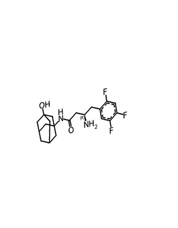 N[C@@H](CC(=O)NC12CC3CC(CC(O)(C3)C1)C2)Cc1cc(F)c(F)cc1F